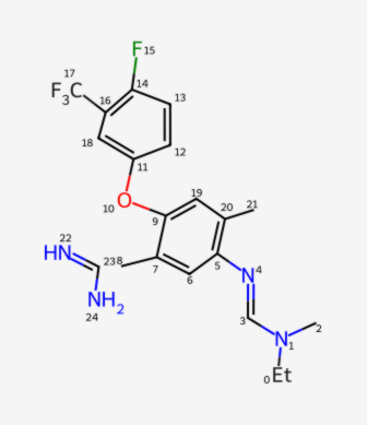 CCN(C)C=Nc1cc(C)c(Oc2ccc(F)c(C(F)(F)F)c2)cc1C.N=CN